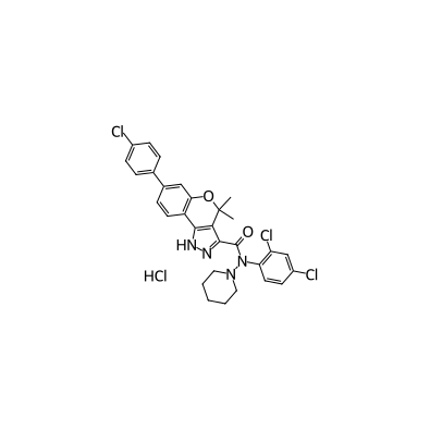 CC1(C)Oc2cc(-c3ccc(Cl)cc3)ccc2-c2[nH]nc(C(=O)N(c3ccc(Cl)cc3Cl)N3CCCCC3)c21.Cl